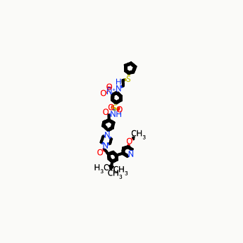 CCOc1cncc(-c2cc(C(=O)N3CCN(c4ccc(C(=O)NS(=O)(=O)c5ccc(NCCSc6ccccc6)c([N+](=O)[O-])c5)cc4)CC3)cc(C(C)(C)C)c2)c1